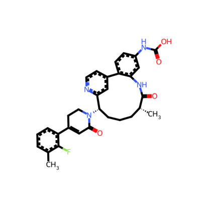 Cc1cccc(C2=CC(=O)N([C@H]3CCC[C@@H](C)C(=O)Nc4cc(NC(=O)O)ccc4-c4ccnc3c4)CC2)c1F